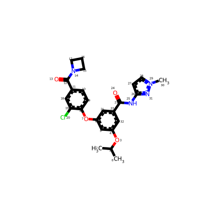 CC(C)Oc1cc(Oc2ccc(C(=O)N3CCC3)cc2Cl)cc(C(=O)Nc2ccn(C)n2)c1